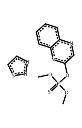 COP(=S)(OC)Oc1cnc2ccccc2n1.c1csnn1